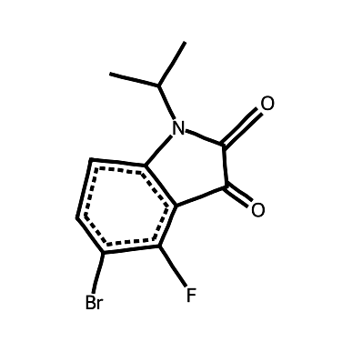 CC(C)N1C(=O)C(=O)c2c1ccc(Br)c2F